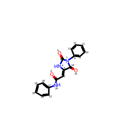 O=C(C=C1NC(=O)N(c2ccccc2)C1=O)Nc1ccccc1